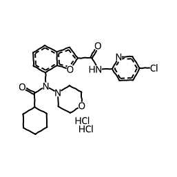 Cl.Cl.O=C(Nc1ccc(Cl)cn1)c1cc2cccc(N(C(=O)C3CCCCC3)N3CCOCC3)c2o1